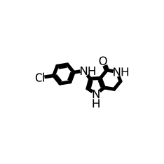 O=C1NCCc2[nH]cc(Nc3ccc(Cl)cc3)c21